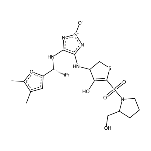 Cc1cc([C@H](Nc2n[s+]([O-])nc2NC2CSC(S(=O)(=O)N3CCCC3CO)=C2O)C(C)C)oc1C